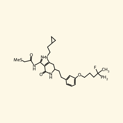 CSCC(=O)Nc1nn(CCC2CC2)c2c1C(=O)NC(CCc1cccc(OCCCC(C)(F)P)c1)C2